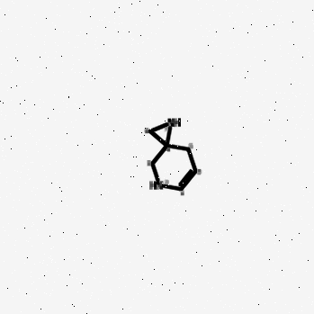 C1=CNCC2(C1)CN2